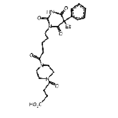 CCC1(c2ccccc2)C(=O)NC(=O)N(CCCCC(=O)N2CCN(C(=O)CCC(=O)O)CC2)C1=O